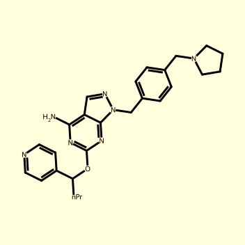 CCCC(Oc1nc(N)c2cnn(Cc3ccc(CN4CCCC4)cc3)c2n1)c1ccncc1